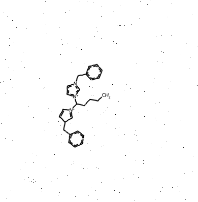 CCCCC([N+]1=CC(Cc2ccccc2)C=C1)[n+]1ccn(Cc2ccccc2)c1